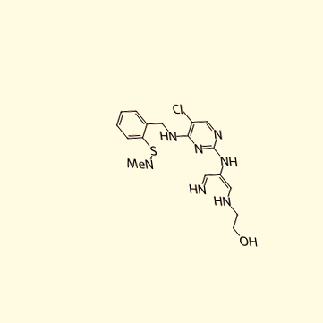 CNSc1ccccc1CNc1nc(N/C(C=N)=C/NCCO)ncc1Cl